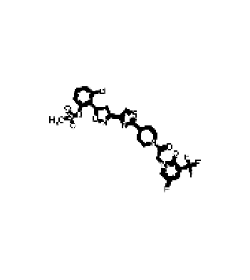 CS(=O)(=O)Oc1cccc(Cl)c1C1CC(c2csc(C3CCN(C(=O)Cn4cc(F)cc(C(F)(F)F)c4=O)CC3)n2)=NO1